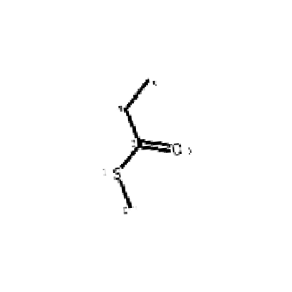 [CH2]SC(=O)CC